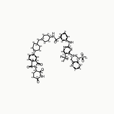 CN(c1nccnc1CNc1nc(Nc2cccc(C(=O)NC3CCN(CC4CCN(c5ccc6c(c5)C(=O)N(C5CCC(=O)NC5=O)C6=O)CC4)CC3)c2)ncc1C(F)(F)F)S(C)(=O)=O